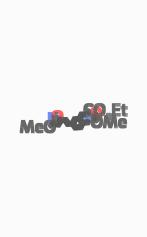 CCOC(=O)C1CC2CC(CCc3cc(OC)no3)CCC2CN1C(=O)OC